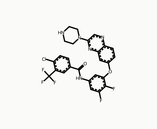 O=C(Nc1cc(F)c(F)c(Oc2ccc3ncc(N4CCNCC4)nc3c2)c1)c1ccc(Cl)c(C(F)(F)F)c1